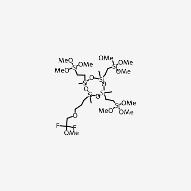 COC(F)(F)COCCC[Si]1(C)O[Si](C)(CC[Si](OC)(OC)OC)O[Si](C)(CC[Si](OC)(OC)OC)O[Si](C)(CC[Si](OC)(OC)OC)O1